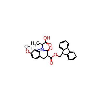 COc1ccc(CC(C(=O)NC(C)C(=O)O)C(=O)OCC2c3ccccc3-c3ccccc32)cc1